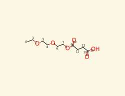 CCOCCOCCOC(=O)CCC(=O)O